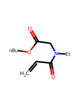 C=CC(=O)N(CC)CC(=O)OCCCC